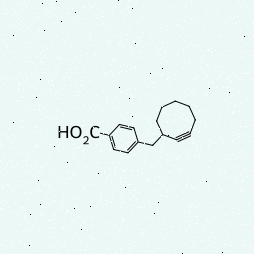 O=C(O)c1ccc(CC2C#CCCCCC2)cc1